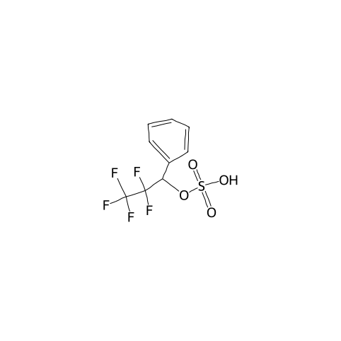 O=S(=O)(O)OC(c1ccccc1)C(F)(F)C(F)(F)F